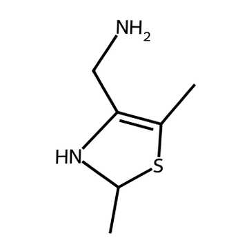 CC1=C(CN)NC(C)S1